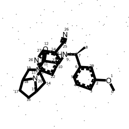 COc1cccc([C@H](C)NCC(=O)N2CC3CCC(C2)N3c2ccc(C#N)cn2)c1